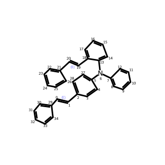 C(=C\c1ccc(N(c2ccccc2)c2ccccc2/C=C/c2ccccc2)cc1)/c1ccccc1